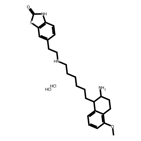 COc1cccc2c1CCC(N)C2CCCCCCNCCc1ccc2[nH]c(=O)sc2c1.Cl.Cl